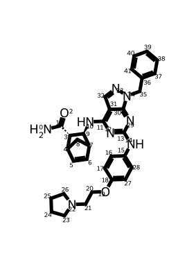 NC(=O)[C@H]1C2C=CC(C2)[C@@H]1Nc1nc(Nc2ccc(OCCN3CCCC3)cc2)nc2c1cnn2Cc1ccccc1